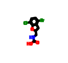 O=C(O)NCC1Cc2c(Br)ccc(Cl)c2O1